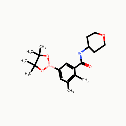 Cc1cc(B2OC(C)(C)C(C)(C)O2)cc(C(=O)NC2CCOCC2)c1C